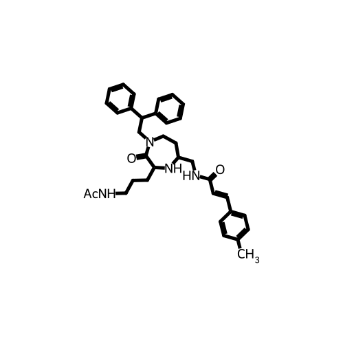 CC(=O)NCCCC1NC(CNC(=O)/C=C/c2ccc(C)cc2)CCN(CC(c2ccccc2)c2ccccc2)C1=O